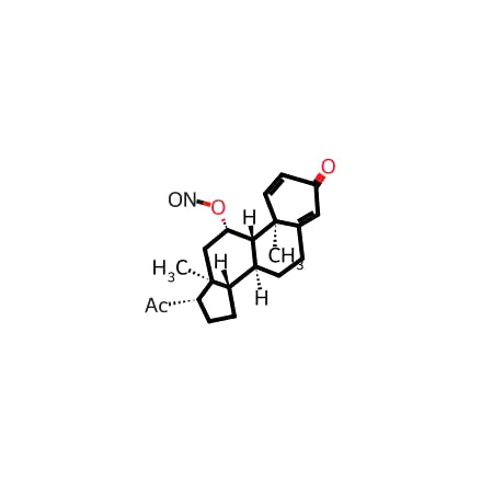 CC(=O)[C@H]1CC[C@H]2[C@@H]3CCC4=CC(=O)C=C[C@]4(C)[C@H]3[C@@H](ON=O)C[C@]12C